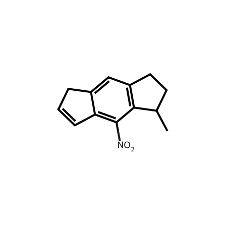 CC1CCc2cc3c(c([N+](=O)[O-])c21)C=CC3